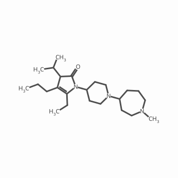 CCCC1=C(CC)N(C2CCN(C3CCCN(C)CC3)CC2)C(=O)C1C(C)C